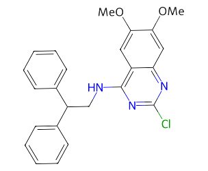 COc1cc2nc(Cl)nc(NCC(c3ccccc3)c3ccccc3)c2cc1OC